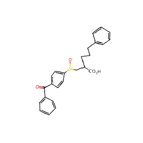 O=C(c1ccccc1)c1ccc([S+]([O-])CC(CCCc2ccccc2)C(=O)O)cc1